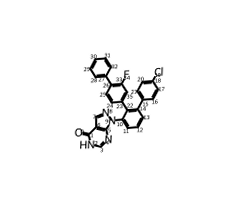 O=c1[nH]cnc2c1cnn2-c1cccc(-c2ccc(Cl)cc2)c1-c1ccc(-c2ccccc2)c(F)c1